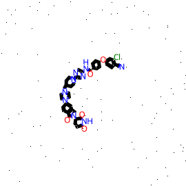 N#Cc1ccc(O[C@H]2CC[C@H](C(=O)Nc3cnc(N4CCC(CN5CCN(c6ccc7c(c6)CN(C6CCC(=O)NC6=O)C7=O)CC5)CC4)cn3)CC2)cc1Cl